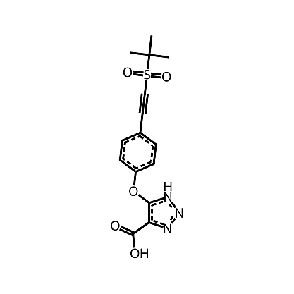 CC(C)(C)S(=O)(=O)C#Cc1ccc(Oc2[nH]nnc2C(=O)O)cc1